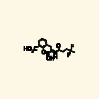 CC(F)(F)CCC(=O)N[C@H]1Cc2cccc(C(=O)O)c2OB1O